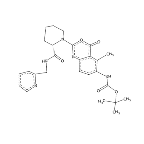 Cc1c(NC(=O)OC(C)(C)C)ccc2nc(N3CCCC[C@H]3C(=O)NCc3ccccn3)oc(=O)c12